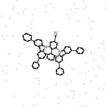 N#Cc1cc(-n2c3ccc(-c4ccccc4)cc3c3cc(-c4ccccc4)ccc32)c(-c2c(F)cccc2F)c(-n2c3ccc(-c4ccccc4)cc3c3cc(-c4ccccc4)ccc32)c1